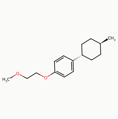 COCCOc1ccc([C@H]2CC[C@H](C)CC2)cc1